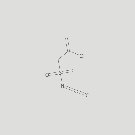 C=C(Cl)CS(=O)(=O)N=C=O